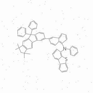 CC1(C)CC(C)(C)c2cc3c(cc21)-c1cc(-c2ccc4c(N(c5ccccc5)c5cccc6c5sc5ccccc56)cccc4c2)ccc1C3(c1ccccc1)c1ccccc1